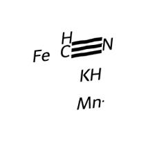 C#N.[Fe].[KH].[Mn]